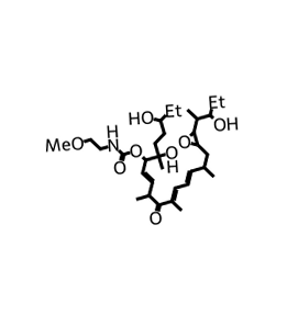 CCC(O)CCC(C)(O)C(/C=C/C(C)C(=O)/C(C)=C/C=C/C(C)CC1OC1C(C)C(O)CC)OC(=O)NCCOC